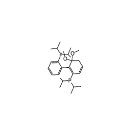 COC1(OC)CC=CC(P(C(C)C)C(C)C)=C1c1ccccc1P(C(C)C)C(C)C